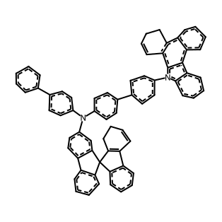 C1=CC2=C(CC1)C1(c3ccccc32)c2ccccc2-c2ccc(N(c3ccc(-c4ccccc4)cc3)c3ccc(-c4ccc(-n5c6ccccc6c6c7ccccc7c7c(c65)C=CCC7)cc4)cc3)cc21